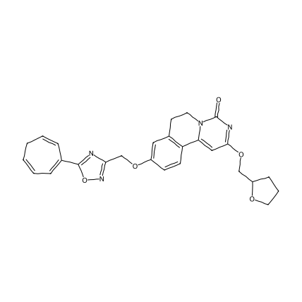 O=c1nc(OCC2CCCO2)cc2n1CCc1cc(OCc3noc(C4=CC=CCC=C4)n3)ccc1-2